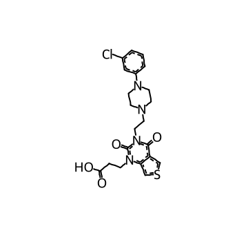 O=C(O)CCn1c(=O)n(CCN2CCN(c3cccc(Cl)c3)CC2)c(=O)c2cscc21